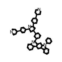 c1ccc(-n2c3ccccc3c3cc4c(cc32)c(-c2cccc(-c3cc(-c5ccc(-c6ccncc6)cc5)nc(-c5ccc(-c6ccncc6)cc5)c3)c2)nc2ccccc24)cc1